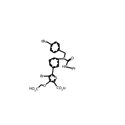 CC(C)NC(=O)N(Cc1ccc(C(C)(C)C)cc1)c1cccc(-c2sc(C(=O)O)c(OCC(=O)O)c2Br)c1